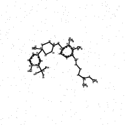 CCN(C)CCCOc1ccc(CN2CCC(O)(c3ccc(Cl)c(C(F)(F)F)c3)CC2)c(C)c1C